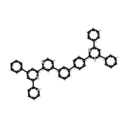 c1ccc(-c2cc(-c3ccccn3)nc(-c3cc(-c4cccc(-c5ccc(-c6nc(-c7ccccc7)cc(-c7ccccc7)n6)cc5)c4)ccn3)c2)cc1